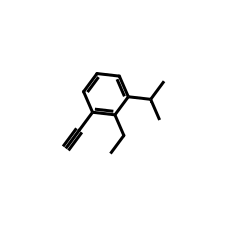 C#Cc1cccc([C](C)C)c1CC